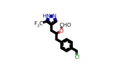 O=COC(Cc1ccc(CCl)cc1)Cc1cn[nH]c1C(F)(F)F